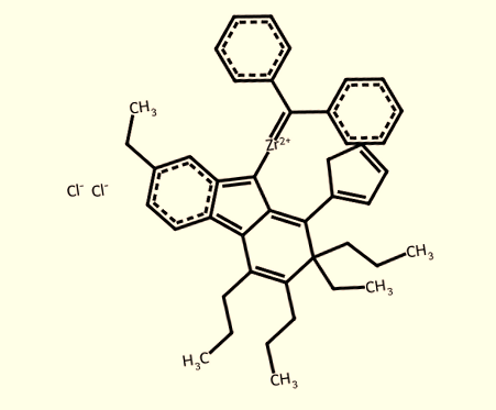 CCCC1=C(CCC)C(CC)(CCC)C(C2=CC=CC2)=C2[C]([Zr+2]=[C](c3ccccc3)c3ccccc3)=c3cc(CC)ccc3=C12.[Cl-].[Cl-]